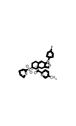 Cc1ccc(C(=O)[C@]23Cc4cnn(-c5ccc(F)cc5)c4C=C2CC[C@H](S(=O)(=O)c2ccccn2)C3)nc1